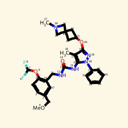 COCc1ccc(OC(F)F)c(CNC(=O)Nc2c(C)c(OC3CC4(C3)CN(C)C4)nn2-c2ccccc2)c1